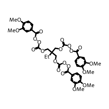 CCC(COC(=O)OOC(=O)c1ccc(OC)c(OC)c1)(COC(=O)OOC(=O)c1ccc(OC)c(OC)c1)COC(=O)OOC(=O)c1ccc(OC)c(OC)c1